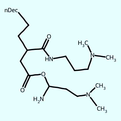 CCCCCCCCCCCCC(CC(=O)OC(N)CCN(C)C)C(=O)NCCCN(C)C